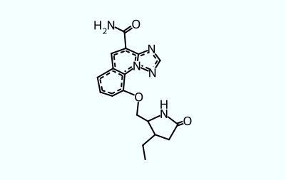 CCC1CC(=O)NC1COc1cccc2cc(C(N)=O)c3ncnn3c12